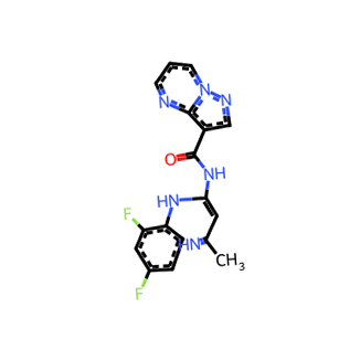 CC(=N)/C=C(/NC(=O)c1cnn2cccnc12)Nc1ccc(F)cc1F